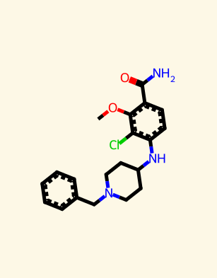 COc1c(C(N)=O)ccc(NC2CCN(Cc3ccccc3)CC2)c1Cl